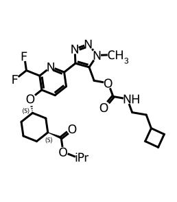 CC(C)OC(=O)[C@H]1CCC[C@H](Oc2ccc(-c3nnn(C)c3COC(=O)NCCC3CCC3)nc2C(F)F)C1